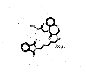 CCOC(=O)[C@H](CCCCN1C(=O)c2ccccc2C1=O)N[C@H]1CSc2ccccc2N(CC(=O)OC(C)(C)C)C1=O